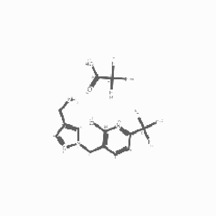 NCc1cnn(Cc2ccc(C(F)(F)F)nc2Cl)c1.O=C(O)C(F)(F)F